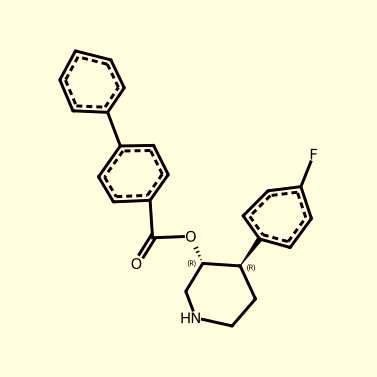 O=C(O[C@H]1CNCC[C@@H]1c1ccc(F)cc1)c1ccc(-c2ccccc2)cc1